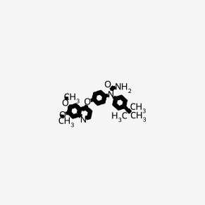 COc1cc2nccc(Oc3ccc(N(C(N)=O)c4ccc(C(C)(C)C)cc4)cc3)c2cc1OC